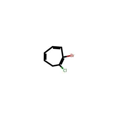 ClC1=C(Br)C=CC=CC1